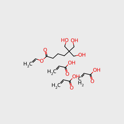 C=CC(=O)O.C=CC(=O)O.C=CC(=O)O.C=COC(=O)CCCC(CO)(CO)CO